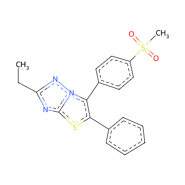 CCc1nc2sc(-c3ccccc3)c(-c3ccc(S(C)(=O)=O)cc3)n2n1